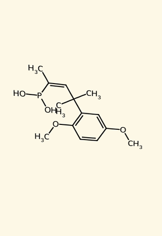 COc1ccc(OC)c(C(C)(C)/C=C(/C)P(O)O)c1